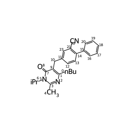 CCCCc1nc(C)n(C(C)C)c(=O)c1Cc1ccc(-c2ccccc2)c(C#N)c1